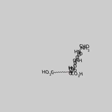 N[C@H](C=O)CCCCNC(=O)COCCOCCNC(=O)COCCOCCNC(=O)CC[C@H](NC(=O)CCCCCCCCCCCCCCCCC(=O)O)C(=O)O